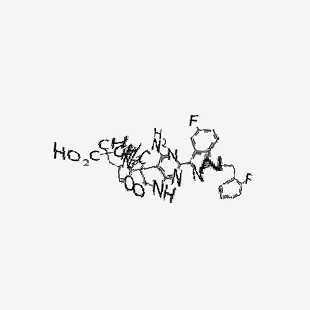 CC(C)(Cc1coc(C2(C)C(=O)Nc3nc(-c4nn(Cc5ccccc5F)c5ccc(F)cc45)nc(N)c32)n1)C(=O)O